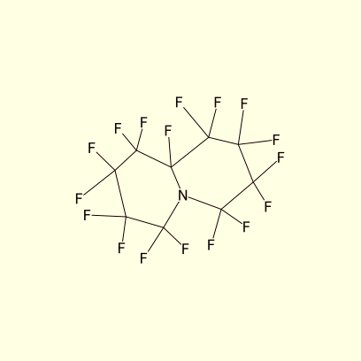 FC1(F)N2C(F)(F)C(F)(F)C(F)(F)C(F)(F)C2(F)C(F)(F)C(F)(F)C1(F)F